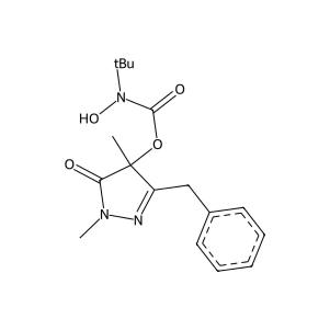 CN1N=C(Cc2ccccc2)C(C)(OC(=O)N(O)C(C)(C)C)C1=O